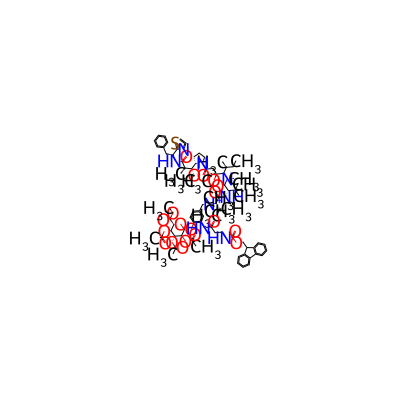 CC[C@H](C)[C@@H]([C@H](CC(=O)N1CCC[C@H]1[C@H](OC)[C@@H](C)C(=O)N[C@@H](Cc1ccccc1)c1nccs1)OC)N(C)C(=O)[C@@H](NC(=O)[C@H](C(C)C)[N+](C)(C)Cc1ccc(O[C@@H]2O[C@H](C(=O)OC)[C@@H](OC(C)=O)[C@@H](OC(C)=O)[C@@H]2OC(C)=O)c(NC(=O)CCNC(=O)OCC2c3ccccc3-c3ccccc32)c1)C(C)C